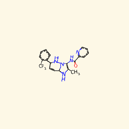 CC1=C(NC(=O)c2ccccn2)N2NC(c3ccccc3C(F)(F)F)C=CC2N1